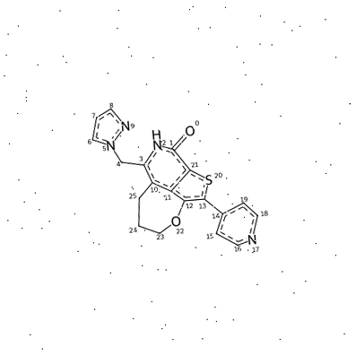 O=c1[nH]c(Cn2cccn2)c2c3c(c(-c4ccncc4)sc13)OCCC2